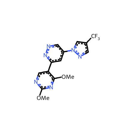 COc1ncc(-c2cc(-n3cc(C(F)(F)F)cn3)cnn2)c(OC)n1